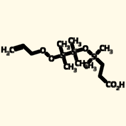 C=CCOO[Si](C)(C)[Si](C)(C)O[Si](C)(C)CCC(=O)O